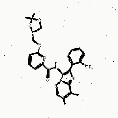 Cc1cnn2c(NC(=O)c3cccc(OCC4COC(C)(C)O4)n3)c(-c3ccccc3C(F)(F)F)nc2c1C